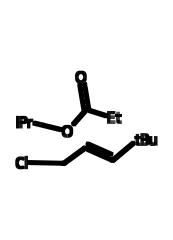 CC(C)(C)C=CCCl.CCC(=O)OC(C)C